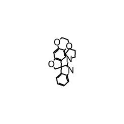 c1ccc2c(c1)N=C(N1CCCC1)C21COc2cc3c(cc21)OCCO3